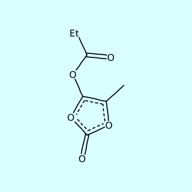 CCC(=O)Oc1oc(=O)oc1C